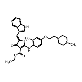 CCOC(=O)C1=C(Nc2ccc(OCCN3CCN(C)CC3)cc2C)O/C(=C\c2c[nH]c3ncccc23)C1=O